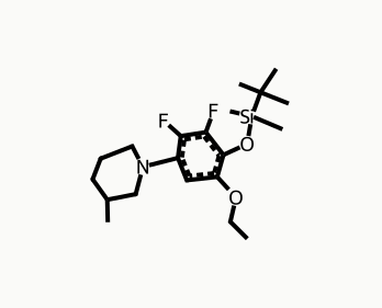 CCOc1cc(N2CCCC(C)C2)c(F)c(F)c1O[Si](C)(C)C(C)(C)C